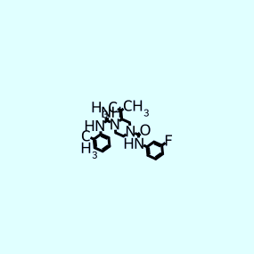 Cc1ccccc1NC(=N)N1CCN(C(=O)Nc2cccc(F)c2)CC1C(C)C